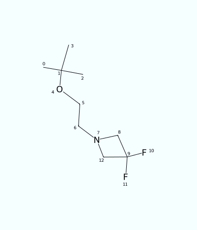 CC(C)(C)OCCN1CC(F)(F)C1